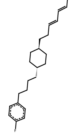 N#CC=CC=CCC[C@H]1CC[C@H](CCCCc2ccc(F)cc2)CC1